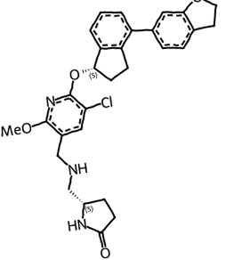 COc1nc(O[C@H]2CCc3c(-c4ccc5c(c4)OCC5)cccc32)c(Cl)cc1CNC[C@@H]1CCC(=O)N1